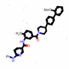 COc1ccccc1-c1ccc(C2CCN(C(=O)c3ccc(C)c(NC(=O)c4ccc(NC(C)C)nc4)c3)CC2)cc1